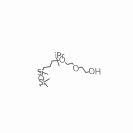 CC(C)C(C)(CCC[Si](C)(C)O[Si](C)(C)C)OCCOCCO